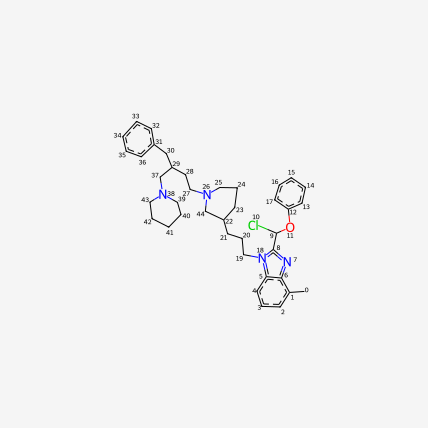 Cc1cccc2c1nc(C(Cl)Oc1ccccc1)n2CCCC1CCCN(CCC(Cc2ccccc2)CN2CCCCC2)C1